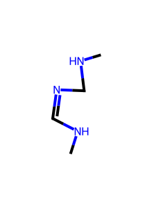 CN/C=N\CNC